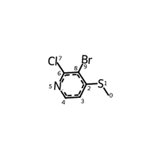 CSc1ccnc(Cl)c1Br